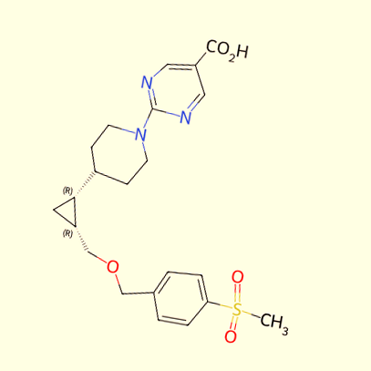 CS(=O)(=O)c1ccc(COC[C@@H]2C[C@@H]2C2CCN(c3ncc(C(=O)O)cn3)CC2)cc1